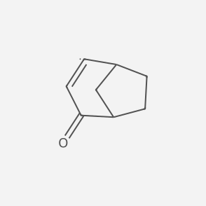 O=C1C=[C]C2CCC1C2